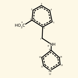 O=C(O)c1ccccc1CNc1ccncc1